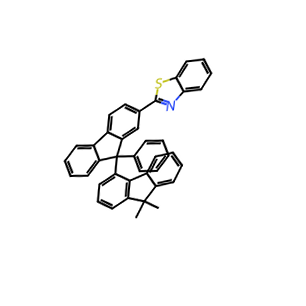 CC1(C)c2ccccc2-c2c1cccc2C1(c2ccccc2)c2ccccc2-c2ccc(-c3nc4ccccc4s3)cc21